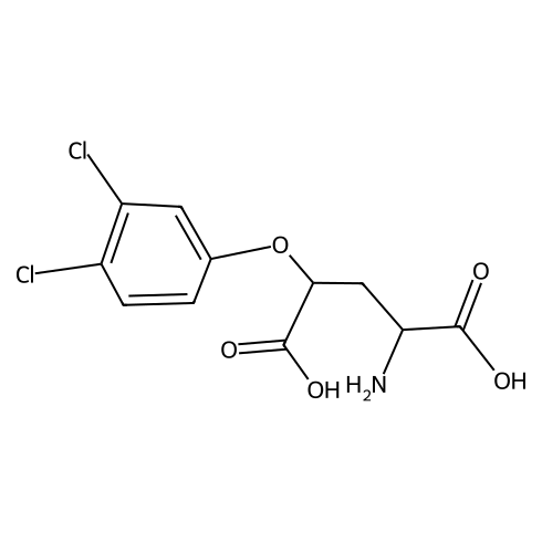 NC(CC(Oc1ccc(Cl)c(Cl)c1)C(=O)O)C(=O)O